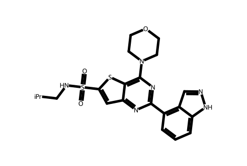 CC(C)CNS(=O)(=O)c1cc2nc(-c3cccc4[nH]ncc34)nc(N3CCOCC3)c2s1